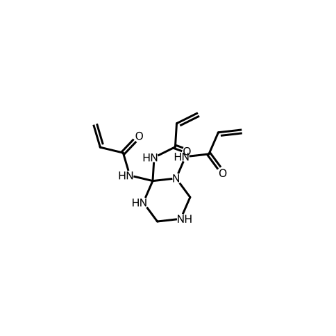 C=CC(=O)NN1CNCNC1(NC(=O)C=C)NC(=O)C=C